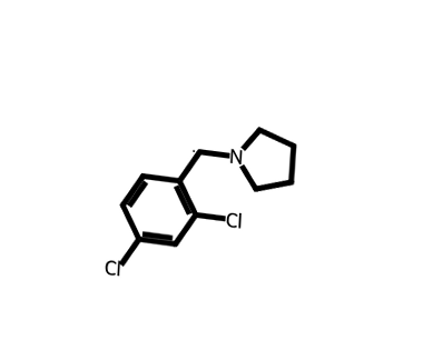 Clc1ccc([CH]N2CCCC2)c(Cl)c1